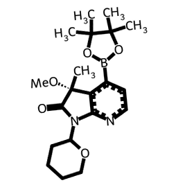 CO[C@@]1(C)C(=O)N(C2CCCCO2)c2nccc(B3OC(C)(C)C(C)(C)O3)c21